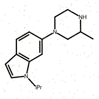 CC1CN(c2ccc3ccn(C(C)C)c3c2)CCN1